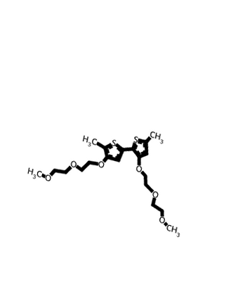 COCCOCCOc1cc(-c2sc(C)cc2OCCOCCOC)sc1C